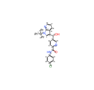 CC(C)[Si](C(C)C)(C(C)C)n1cc(C(O)c2ccc(C(=O)Nc3ccc(Cl)cc3)nc2)c2cccnc21